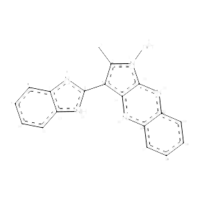 CCCn1c(C)c(-c2nc3ccccc3[nH]2)c2nc3ccccc3nc21